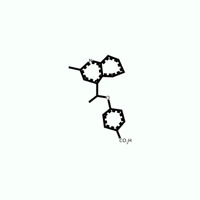 Cc1cc(C(C)Oc2ccc(C(=O)O)cc2)c2ccccc2n1